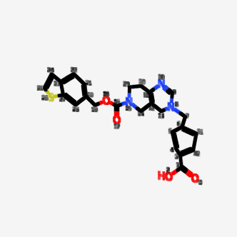 O=C(O)c1ccc(CN2C=NC3=C(C2)CN(C(=O)OCc2ccc4ccsc4c2)CC3)cc1